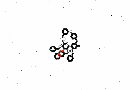 Cc1cc(OCc2ccccc2)c([C@@H]2S[C@H](COCc3ccccc3)[C@@H](OCc3ccccc3)[C@H](OCc3ccccc3)[C@H]2OCc2ccccc2)cc1Cc1ccc(O)cc1